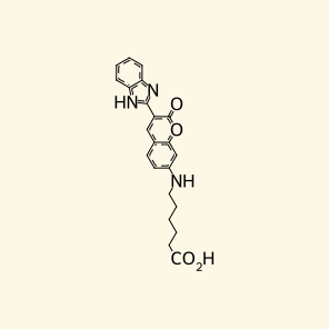 O=C(O)CCCCCNc1ccc2cc(-c3nc4ccccc4[nH]3)c(=O)oc2c1